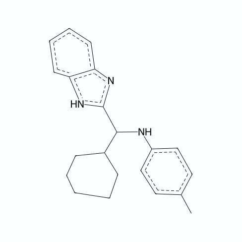 Cc1ccc(NC(c2nc3ccccc3[nH]2)C2CCCCC2)cc1